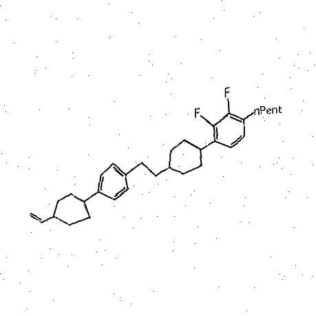 C=CC1CCC(c2ccc(CCC3CCC(c4ccc(CCCCC)c(F)c4F)CC3)cc2)CC1